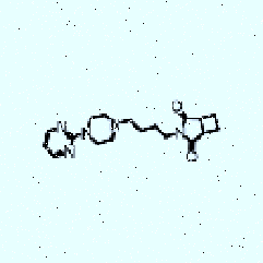 O=C1C2CCC2C(=O)N1CCCCN1CCN(c2ncccn2)CC1